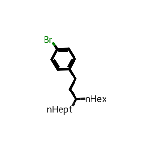 CCCCCCCC(CCCCCC)CCc1ccc(Br)cc1